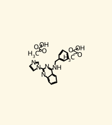 CS(=O)(=O)O.CS(=O)(=O)O.c1ccc(CNc2nc(-n3ccnc3)nc3ccccc23)cc1